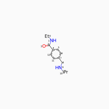 CCNC(=O)c1ccc(CNC(C)C)cc1